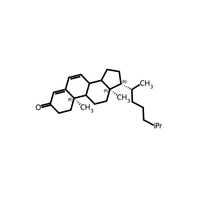 CC(C)CCCC(C)[C@H]1CCC2C3C=CC4=CC(=O)CC[C@]4(C)C3CC[C@@]21C